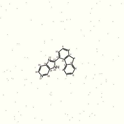 c1ccc2c(c1)Cc1cccc(-c3nc4ccncc4[nH]3)c1-2